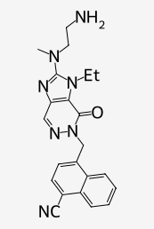 CCn1c(N(C)CCN)nc2cnn(Cc3ccc(C#N)c4ccccc34)c(=O)c21